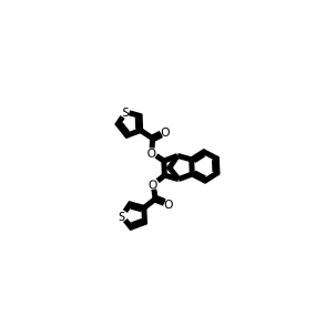 O=C(OC1C2CC(c3ccccc32)C1OC(=O)c1ccsc1)c1ccsc1